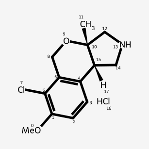 COc1ccc2c(c1Cl)CO[C@]1(C)CNC[C@H]21.Cl